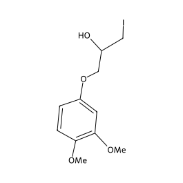 COc1ccc(OCC(O)CI)cc1OC